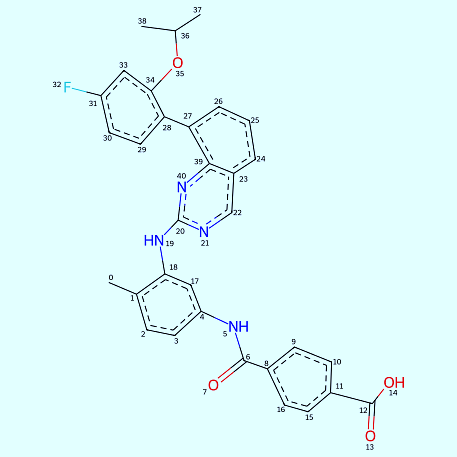 Cc1ccc(NC(=O)c2ccc(C(=O)O)cc2)cc1Nc1ncc2cccc(-c3ccc(F)cc3OC(C)C)c2n1